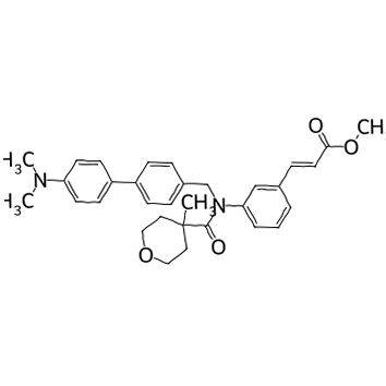 COC(=O)/C=C/c1cccc(N(Cc2ccc(-c3ccc(N(C)C)cc3)cc2)C(=O)C2(C)CCOCC2)c1